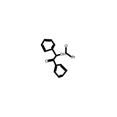 CC(C)C[O].O=C(c1ccccc1)C(O)c1ccccc1